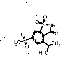 CC(C)c1cc(S(C)(=O)=O)cc2c1C(=O)NS2(=O)=O